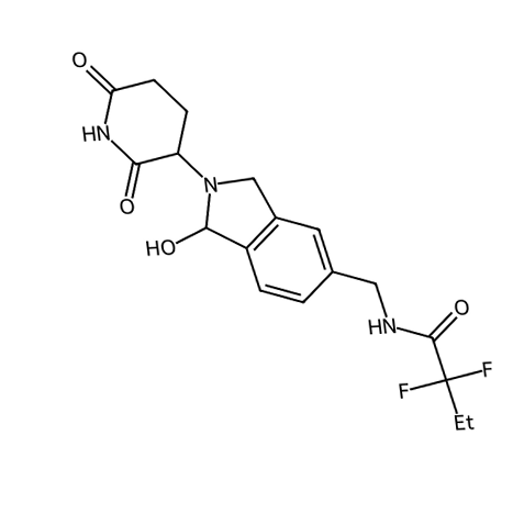 CCC(F)(F)C(=O)NCc1ccc2c(c1)CN(C1CCC(=O)NC1=O)C2O